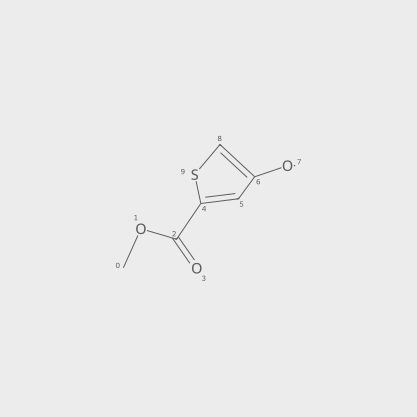 COC(=O)c1cc([O])cs1